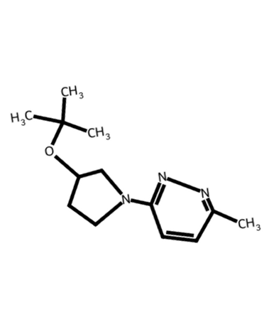 Cc1ccc(N2CCC(OC(C)(C)C)C2)nn1